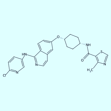 Cc1ncsc1C(=O)N[C@H]1CC[C@@H](Oc2ccc3c(Nc4ccc(Cl)nc4)nccc3c2)CC1